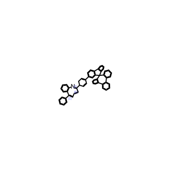 C1=CC(C2=N\c3ccccc3\C(c3ccccc3)=C/C=C/2)CC=C1c1ccc2c(c1)C1(c3ccccc3-c3ccccc3-c3ccccc31)c1ccccc1-2